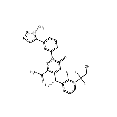 C[C@H](c1cc(=O)n(-c2cccc(-c3cnnn3C)c2)nc1C(N)=O)c1cccc(C(F)(F)CO)c1F